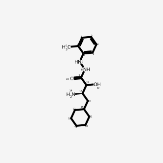 Cc1ccccc1NNC(=O)C(O)[C@H](N)CC1CCCCC1